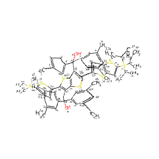 CC1=CCC(C(O)(c2cc(C)cc(C)c2)c2c(-c3cc4sc(S(C(C)C)(C(C)C)C(C)C)cc4s3)sc3c(C(O)(c4cc(C)cc(C)c4)c4cc(C)cc(C)c4)c(-c4ccc(S(C)(C)C)s4)sc23)=C1